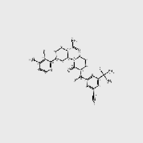 CC(F)(P)c1cc(C#N)cc(N(I)[C@@H]2CCCN([C@H]3CN(c4ncnc(N)c4F)CC[C@@H]3C(N)=O)C2=O)c1